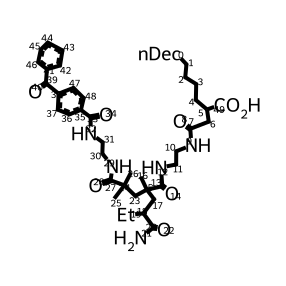 CCCCCCCCCCCCCCC(CC(=O)NCCNC(=O)C(C)(CC(CC)C(N)=O)CC(C)(C)C(=O)NCCNC(=O)c1ccc(C(=O)c2ccccc2)cc1)C(=O)O